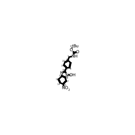 CC(C)(C)OC(=O)NCc1ccc(-c2nc3ccc([N+](=O)[O-])cc3n2O)cc1